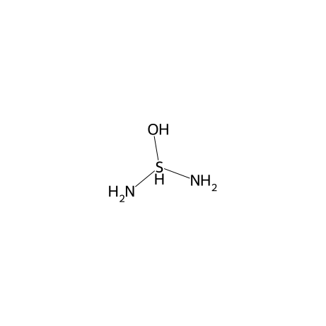 N[SH](N)O